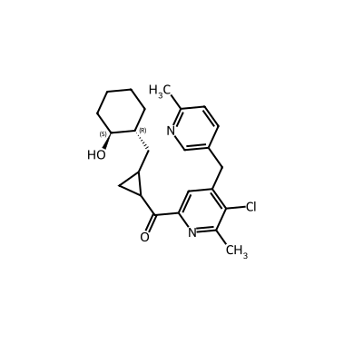 Cc1ccc(Cc2cc(C(=O)C3CC3C[C@H]3CCCC[C@@H]3O)nc(C)c2Cl)cn1